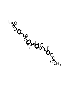 C=CC(=O)OCOc1ccc(C=CC(=O)Oc2ccc(C(c3ccc(OC(=O)C=Cc4ccc(OCOC(=O)C=C)cc4F)cc3)(C(F)(F)F)C(F)(F)F)cc2)c(F)c1